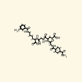 Cc1cccc(C(=O)NCCCCC(NC(=O)CNC(=O)C(CCC(=O)O)NC(=O)CNC(=O)C2CCC(C(N)=O)CC2)C(=O)O)c1